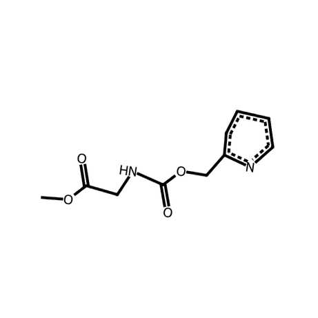 COC(=O)CNC(=O)OCc1ccccn1